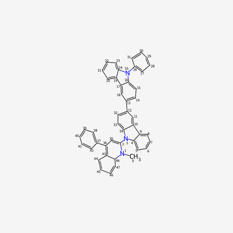 CN1C(n2c3ccccc3c3cc(-c4ccc5c(c4)c4ccccc4n5-c4ccccc4)ccc32)=CC(c2ccccc2)=C2C=CC=CC21